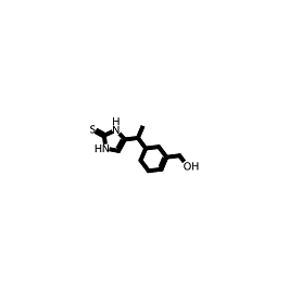 CC(c1c[nH]c(=S)[nH]1)C1CCC=C(CO)C1